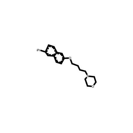 CC(C)c1ccc2cc(OCCCCN3CCOCC3)ccc2c1